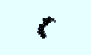 CS(=O)(=O)Nc1ccc(CNC(=O)/C=C\c2ccc(N3CCCC3)nc2)cc1F